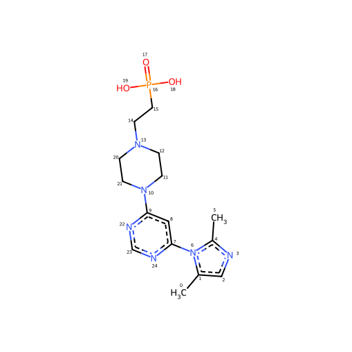 Cc1cnc(C)n1-c1cc(N2CCN(CCP(=O)(O)O)CC2)ncn1